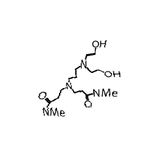 CNC(=O)CCN(CCCN(CCO)CCO)CCC(=O)NC